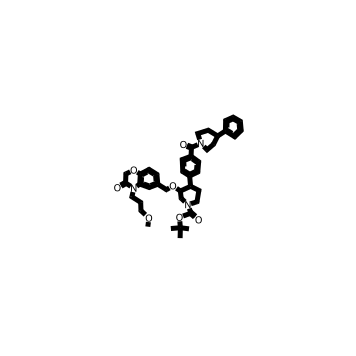 COCCCN1C(=O)COc2ccc(COC3CN(C(=O)OC(C)(C)C)CCC3c3ccc(C(=O)N4CCC(c5ccccc5)CC4)cc3)cc21